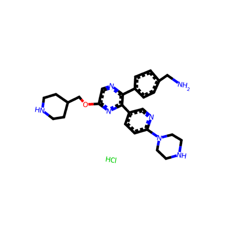 Cl.NCc1ccc(-c2ncc(OCC3CCNCC3)nc2-c2ccc(N3CCNCC3)nc2)cc1